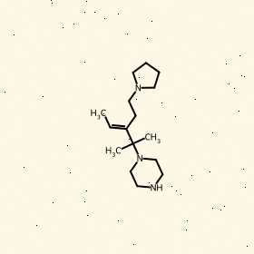 C/C=C(\CCN1CCCC1)C(C)(C)N1CCNCC1